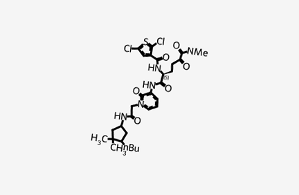 CCCCC1CC(NC(=O)Cn2cccc(NC(=O)[C@H](CCC(=O)C(=O)NC)NC(=O)c3cc(Cl)sc3Cl)c2=O)CC1(C)C